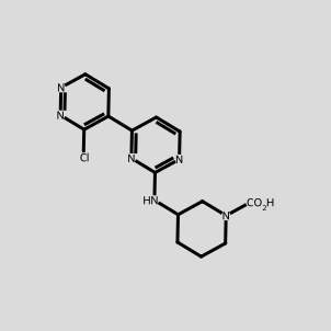 O=C(O)N1CCCC(Nc2nccc(-c3ccnnc3Cl)n2)C1